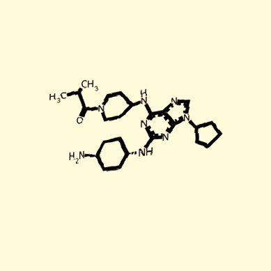 CC(C)C(=O)N1CCC(Nc2nc(N[C@H]3CC[C@H](N)CC3)nc3c2ncn3C2CCCC2)CC1